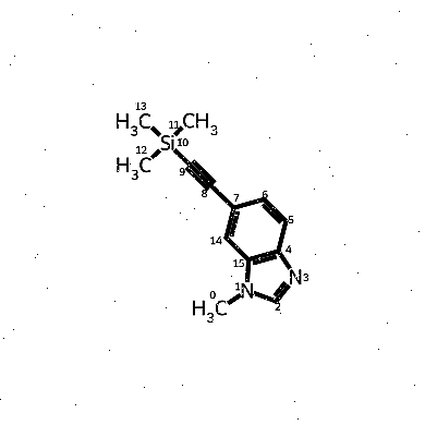 Cn1cnc2ccc(C#C[Si](C)(C)C)cc21